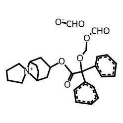 O=COCOC(C(=O)OC1CC2CCC(C1)[N+]21CCCC1)(c1ccccc1)c1ccccc1.O=C[O-]